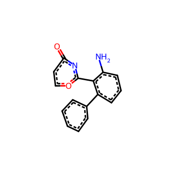 Nc1cccc(-c2ccccc2)c1-c1nc(=O)cco1